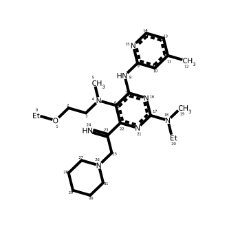 CCOCCN(C)c1c(Nc2cc(C)ccn2)nc(N(C)CC)nc1C(=N)CN1CCCCC1